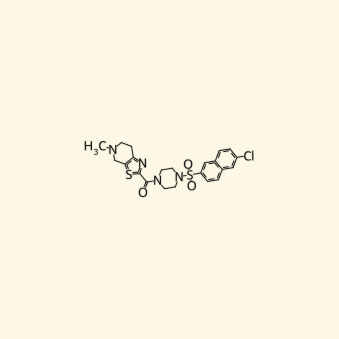 CN1CCc2nc(C(=O)N3CCN(S(=O)(=O)c4ccc5cc(Cl)ccc5c4)CC3)sc2C1